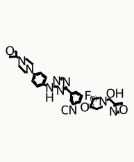 N#Cc1cc(-c2ncnc(Nc3ccc(N4CCN(C5COC5)CC4)cc3)n2)ccc1O[C@H]1CCN(C(O)c2cocn2)C[C@H]1F